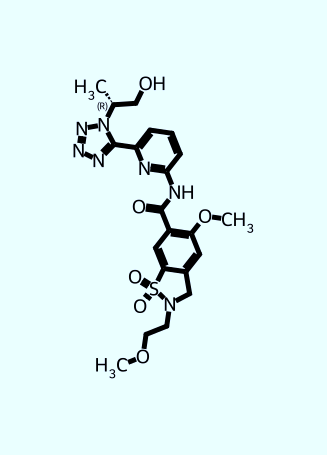 COCCN1Cc2cc(OC)c(C(=O)Nc3cccc(-c4nnnn4[C@H](C)CO)n3)cc2S1(=O)=O